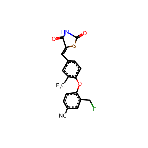 N#Cc1ccc(Oc2ccc(/C=C3\SC(=O)NC3=O)cc2C(F)(F)F)c(CF)c1